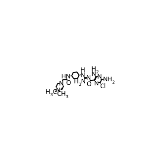 C[N+]1(C)CCN(CC(=O)N[C@H]2CC[C@H](N/C(N)=N/C(=O)c3nc(Cl)c(N)nc3N)CC2)CC1